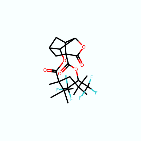 CC(C)(C)CC(C)(C(=O)OC1C2CC3C1OC(=O)C3(C(=O)OC(C(F)(F)F)C(F)(F)F)C2)C(C)(C)C